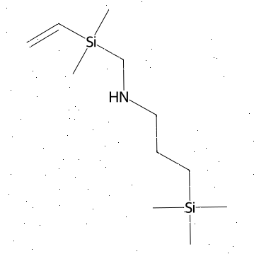 C=C[Si](C)(C)CNCCC[Si](C)(C)C